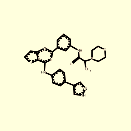 CC(C(=O)Nc1cccc(-c2nc(Nc3ccc(-c4cn[nH]c4)cc3)c3sccc3n2)c1)N1CCOCC1